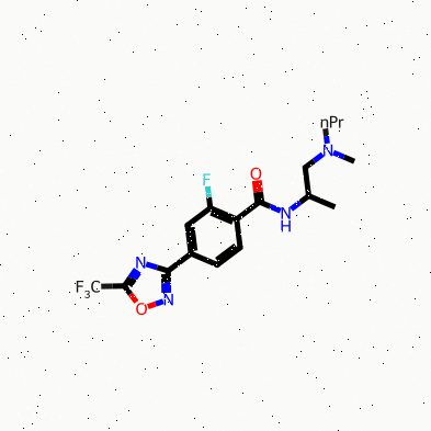 CCCN(C)CC(C)NC(=O)c1ccc(-c2noc(C(F)(F)F)n2)cc1F